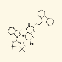 CC(C)(C)OC[C@H](NC(=O)[C@H](Cc1cn(C(=O)OC(C)(C)C)c2ccccc12)NC(=O)OCC1c2ccccc2-c2ccccc21)C(=O)O